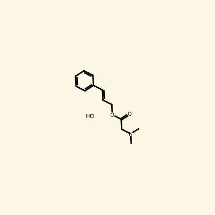 CN(C)CC(=O)OCC=Cc1ccccc1.Cl